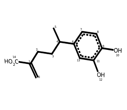 C=C(CCC(C)c1ccc(O)c(O)c1)C(=O)O